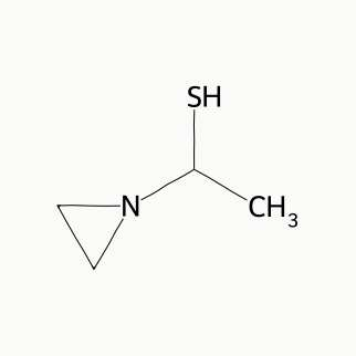 CC(S)N1CC1